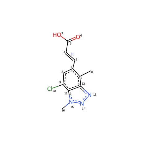 Cc1c(/C=C/C(=O)O)cc(Cl)c2c1nnn2C